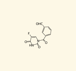 O=Cc1cccc(C(=O)n2cc(F)c(=O)[nH]c2=O)c1